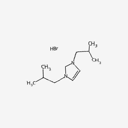 Br.CC(C)CN1C=CN(CC(C)C)C1